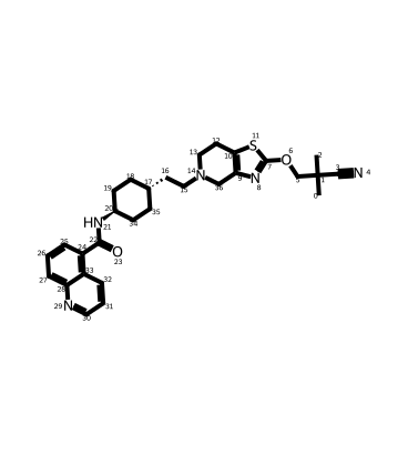 CC(C)(C#N)COc1nc2c(s1)CCN(CC[C@H]1CC[C@H](NC(=O)c3cccc4ncccc34)CC1)C2